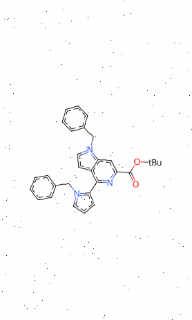 CC(C)(C)OC(=O)c1cc2c(ccn2Cc2ccccc2)c(-c2cccn2Cc2ccccc2)n1